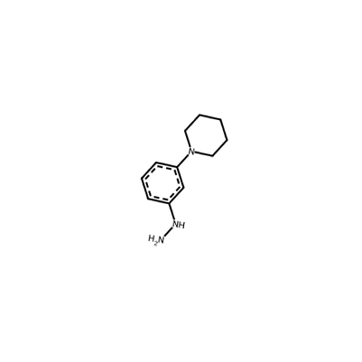 NNc1cccc(N2CCCCC2)c1